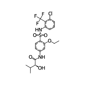 CCOc1cc(NC(=O)[C@@H](O)C(C)C)ccc1S(=O)(=O)Nc1cccc(Cl)c1C(F)(F)F